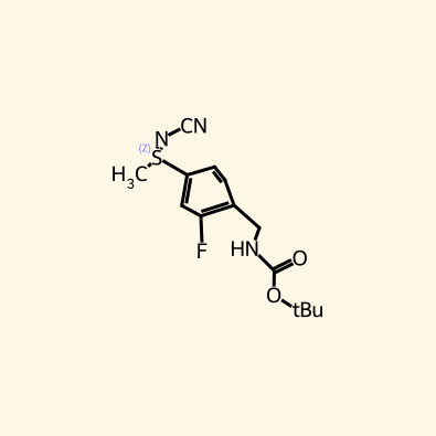 C/S(=N/C#N)c1ccc(CNC(=O)OC(C)(C)C)c(F)c1